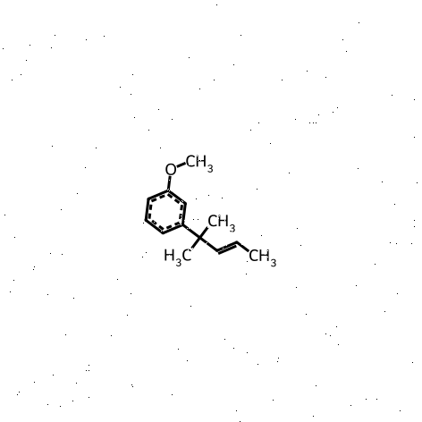 CC=CC(C)(C)c1cccc(OC)c1